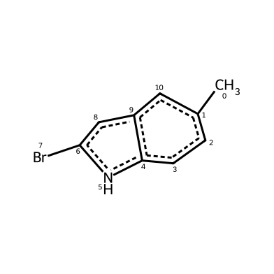 Cc1ccc2[nH]c(Br)cc2c1